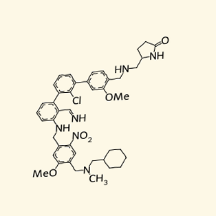 COc1cc(-c2cccc(-c3cccc(NCc4cc(OC)c(CN(C)CC5CCCCC5)cc4[N+](=O)[O-])c3C=N)c2Cl)ccc1CNCC1CCC(=O)N1